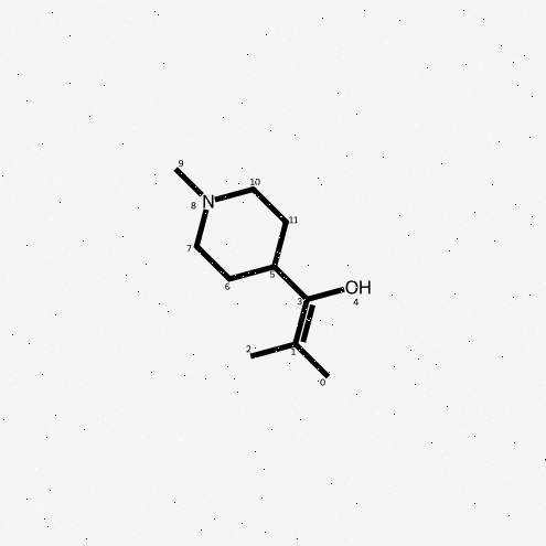 CC(C)=C(O)C1CCN(C)CC1